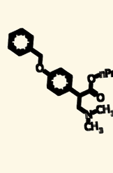 CCCOC(=O)C(CN(C)C)c1ccc(OCc2ccccc2)cc1